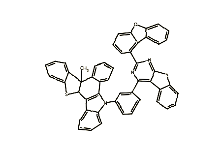 CC12c3ccccc3SC1c1c(n(-c3cccc(-c4nc(-c5cccc6oc7ccccc7c56)nc5sc6ccccc6c45)c3)c3ccccc13)-c1ccccc12